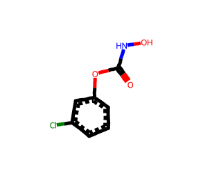 O=C(NO)Oc1cccc(Cl)c1